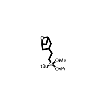 CO[Si](CCC1CC2CC(C1)O2)(OC(C)C)C(C)(C)C